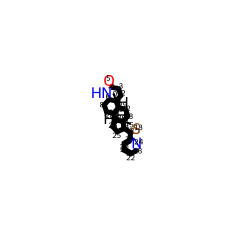 C[C@]12CCC(=O)NC1CC[C@@H]1[C@H]2CC[C@]2(C)C(C(=S)c3ccccn3)CC[C@@H]12